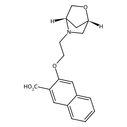 O=C(O)c1cc2ccccc2cc1OCCN1C[C@@H]2C[C@H]1CO2